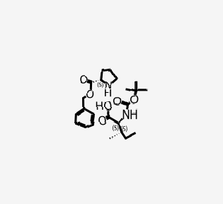 CC[C@H](C)[C@H](NC(=O)OC(C)(C)C)C(=O)O.O=C(OCc1ccccc1)[C@@H]1CCCN1